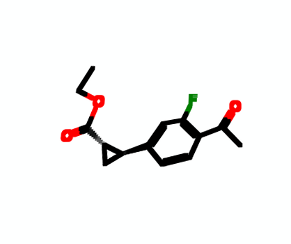 CCOC(=O)[C@H]1C[C@@H]1c1ccc(C(C)=O)c(F)c1